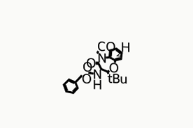 CC(C)(C)C1Oc2ccccc2N(CC(=O)O)C(=O)[C@H]1NC(=O)OCc1ccccc1